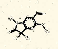 COc1nc2c(cc1C=O)N(C)C(=O)C2(C)C